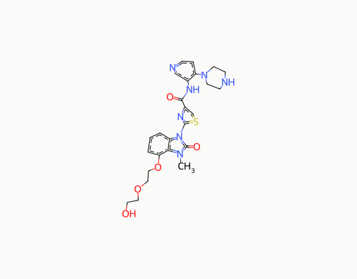 Cn1c(=O)n(-c2nc(C(=O)Nc3cnccc3N3CCNCC3)cs2)c2cccc(OCCOCCO)c21